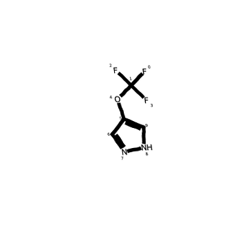 FC(F)(F)Oc1[c]n[nH]c1